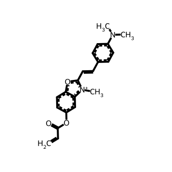 C=CC(=O)Oc1ccc2oc(C=Cc3ccc(N(C)C)cc3)[n+](C)c2c1